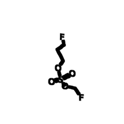 O=S(=O)(OCF)OCCCF